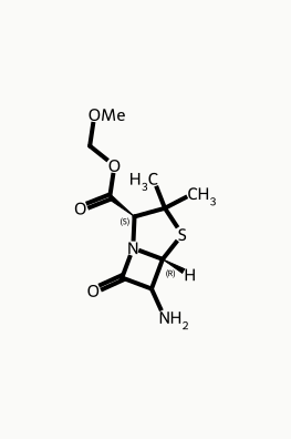 COCOC(=O)[C@@H]1N2C(=O)C(N)[C@H]2SC1(C)C